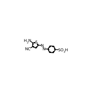 N#Cc1cc(N=Nc2ccc(S(=O)(=O)O)cc2)sc1N